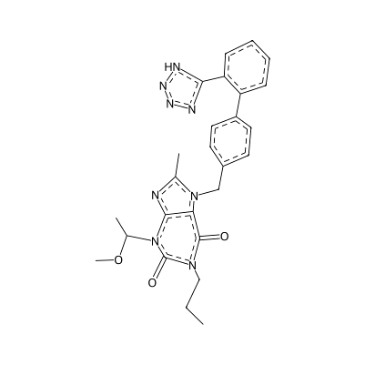 CCCn1c(=O)c2c(nc(C)n2Cc2ccc(-c3ccccc3-c3nnn[nH]3)cc2)n(C(C)OC)c1=O